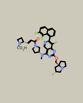 CN(c1nc(OC[C@@]23CCCN2C[C@H](F)C3)nc2c(F)c(-c3cccc4ccc(F)c(F)c34)ncc12)[C@@H]1CCN(C(=O)/C=C/[C@H]2CCN2C(=O)O)C1